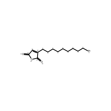 CC(C)CCCCCCCCCC1=CC(=O)OC1=O